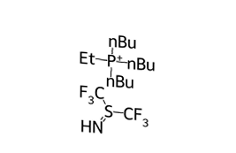 CCCC[P+](CC)(CCCC)CCCC.N=S(C(F)(F)F)C(F)(F)F